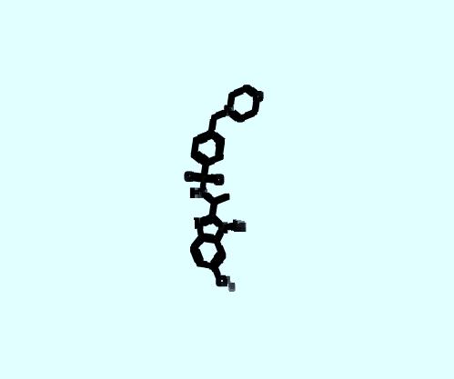 CCn1c(C(C)NS(=O)(=O)c2ccc(CN3CCOCC3)cc2)nc2ccc(C(F)(F)F)cc21